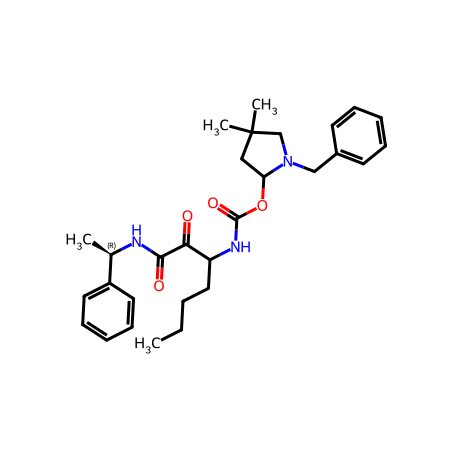 CCCCC(NC(=O)OC1CC(C)(C)CN1Cc1ccccc1)C(=O)C(=O)N[C@H](C)c1ccccc1